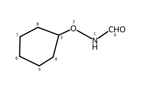 O=CNOC1CCCCC1